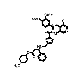 COc1ccc([C@H](Cc2c(Cl)cncc2Cl)OC(=O)c2ccc(CNC(CC(=O)OC3CCN(C)CC3)c3ccccc3)s2)cc1OC